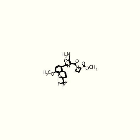 COC(=O)[C@@H]1CCN1C(=O)c1nc(-c2ccc(OC)c3nc(C(F)(F)F)ccc23)oc1CN